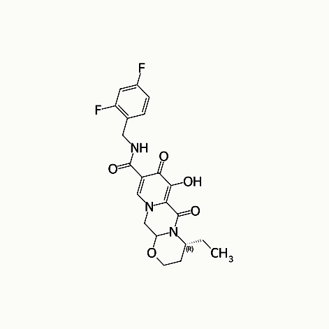 CC[C@@H]1CCOC2Cn3cc(C(=O)NCc4ccc(F)cc4F)c(=O)c(O)c3C(=O)N21